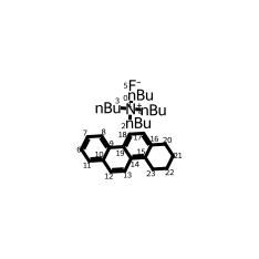 CCCC[N+](CCCC)(CCCC)CCCC.[F-].c1ccc2c(c1)ccc1c3c(ccc12)CCCC3